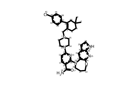 CC1(C)CCC(CN2CCN(c3ccc(C(N)=O)c(N4CCCOc5nc6[nH]ccc6cc54)n3)CC2)=C(c2ccc(Cl)cc2)C1